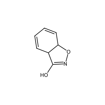 OC1=NOC2C=CC=CC12